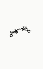 C(=N/c1nnc(CCCCCc2nnc(NCOC3CCCCC3)s2)s1)/OC1CCCCC1